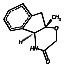 C[C@]12Cc3ccccc3[C@@H]1NC(=O)CO2